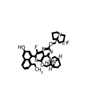 CCc1cccc2cc(O)cc(-c3nc4c5c(nc(OC[C@@]67CCCN6C[C@H](F)C7)nc5c3F)N3C[C@H]5CC[C@H](N5)[C@H]3CO4)c12